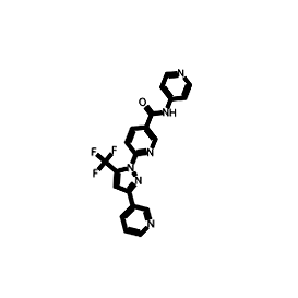 O=C(Nc1ccncc1)c1ccc(-n2nc(-c3cccnc3)cc2C(F)(F)F)nc1